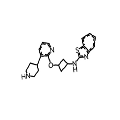 c1cnc(OC2CC(Nc3nc4ccccc4s3)C2)c(C2CCNCC2)c1